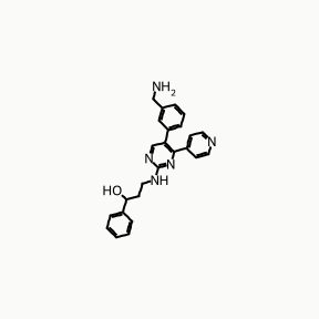 NCc1cccc(-c2cnc(NCCC(O)c3ccccc3)nc2-c2ccncc2)c1